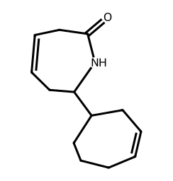 O=C1CC=CCC(C2CC=CCCC2)N1